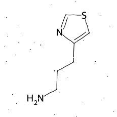 NC[CH]Cc1cscn1